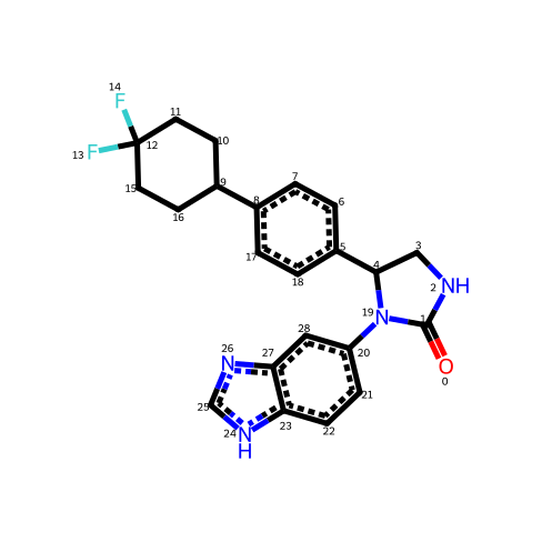 O=C1NCC(c2ccc(C3CCC(F)(F)CC3)cc2)N1c1ccc2[nH]cnc2c1